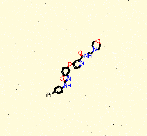 CC(C)c1ccc(Nc2nc3cc(Oc4ccnc(C(=O)NCCN5CCOCC5)c4)ccc3o2)cc1